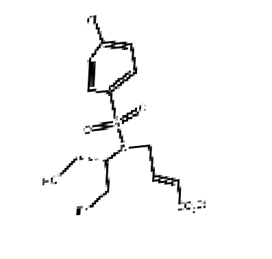 CCOC(=O)/C=C/CN([C@@H](CO)CC(C)C)S(=O)(=O)c1ccc(Cl)cc1